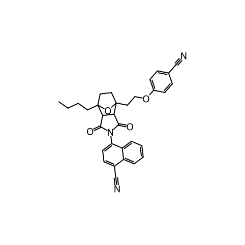 CCCCC12CCC(CCOc3ccc(C#N)cc3)(O1)C1C(=O)N(c3ccc(C#N)c4ccccc34)C(=O)C12